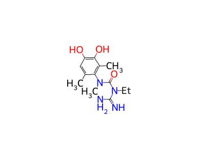 CCN(C(=N)N)C(=O)N(C)c1c(C)cc(O)c(O)c1C